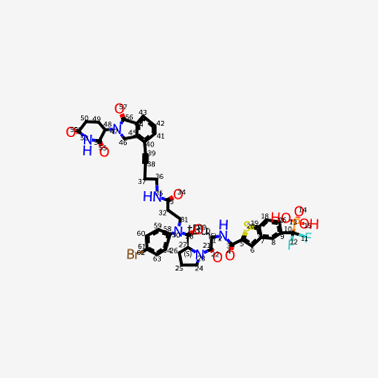 CC(C)(C)[C@H](NC(=O)c1cc2cc(C(F)(F)P(=O)(O)O)ccc2s1)C(=O)N1CCC[C@H]1C(=O)N(CCC(=O)NCCC#Cc1cccc2c1CN(C1CCC(=O)NC1=O)C2=O)c1ccc(Br)cc1